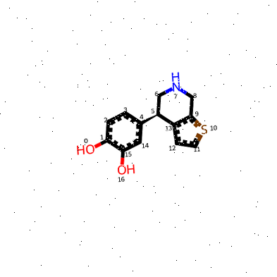 Oc1ccc([C@H]2CNCc3sccc32)cc1O